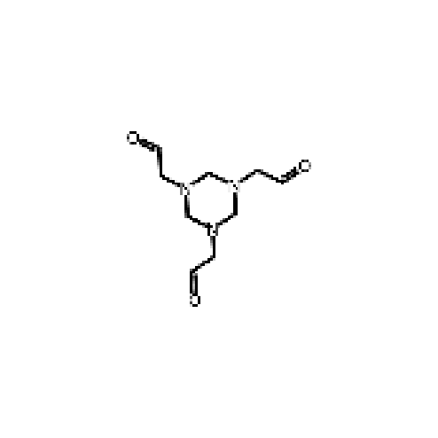 O=CCN1CN(CC=O)CN(CC=O)C1